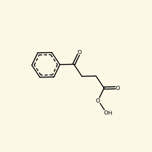 O=C(CCC(=O)c1ccccc1)OO